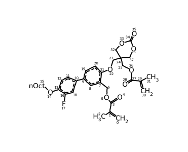 C=C(C)C(=O)OCc1cc(-c2ccc(OCCCCCCCC)c(F)c2)ccc1OCC1(COC(=O)C(=C)C)COC(=O)OC1